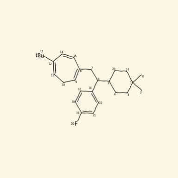 CC1(C)CCC(C(CC2=CCC=C(C(C)(C)C)C=C2)c2ccc(F)cc2)CC1